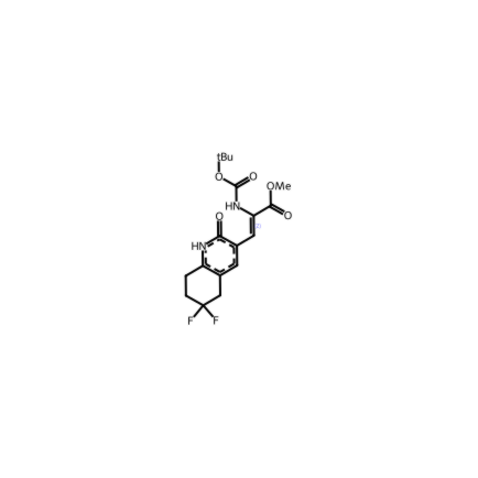 COC(=O)/C(=C/c1cc2c([nH]c1=O)CCC(F)(F)C2)NC(=O)OC(C)(C)C